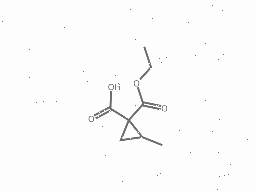 CCOC(=O)C1(C(=O)O)CC1C